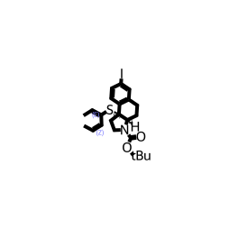 C/C=C\C(=C/C)S[C@@]12CCN(C(=O)OC(C)(C)C)[C@@H]1CCc1cc(I)ccc12